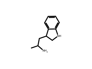 CC(N)CC1CNc2ccccc21